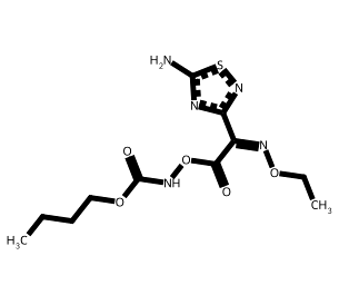 CCCCOC(=O)NOC(=O)C(=NOCC)c1nsc(N)n1